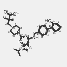 CC(C)n1cnc2c(NCc3ccc(-c4ccccc4O)cc3)nc(N3CCN(CC(C)(C)C(=O)O)CC3)nc21